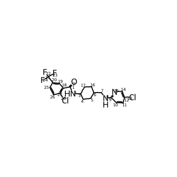 O=C(NC1CCC(CNc2ccc(Cl)cn2)CC1)c1cc(C(F)(F)F)ccc1Cl